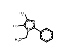 CCn1c(-c2ccccc2)nc(C)c1S